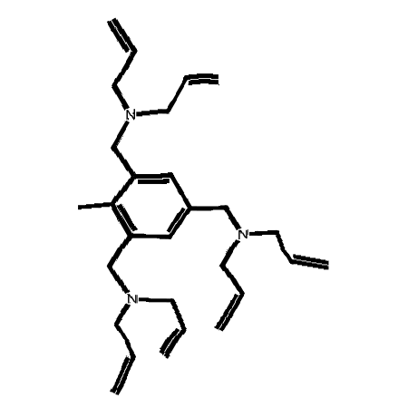 C=CCN(CC=C)Cc1cc(CN(CC=C)CC=C)c(C)c(CN(CC=C)CC=C)c1